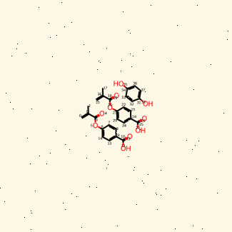 C=C(C)C(=O)Oc1ccc(C(=O)O)cc1.C=C(C)C(=O)Oc1ccc(C(=O)O)cc1.Oc1ccc(O)cc1